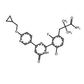 CC(C)(Cc1ccc(Cl)c(-c2nc(-c3ccc(OCC4CC4)nc3)cc(=O)[nH]2)c1F)C(N)=O